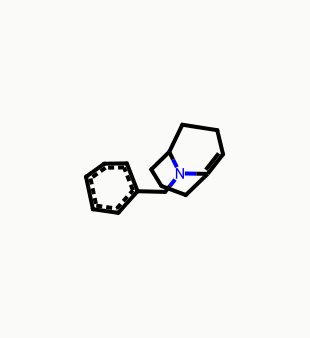 C1=C2CCCC(CC1)N2Cc1ccccc1